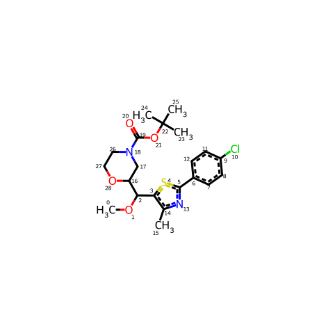 COC(c1sc(-c2ccc(Cl)cc2)nc1C)C1CN(C(=O)OC(C)(C)C)CCO1